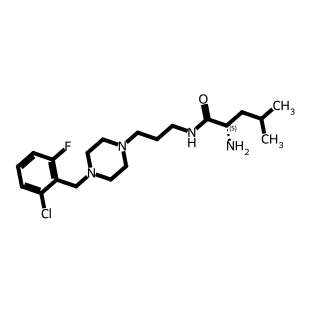 CC(C)C[C@H](N)C(=O)NCCCN1CCN(Cc2c(F)cccc2Cl)CC1